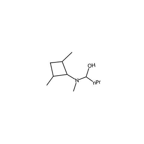 CCCC(O)N(C)C1C(C)CC1C